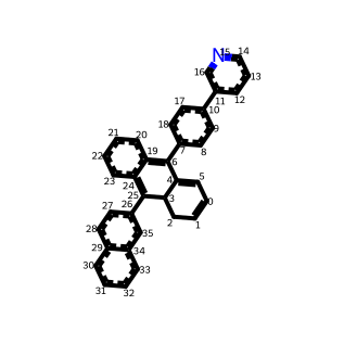 C1=CCC2C(=C1)C(c1ccc(-c3cccnc3)cc1)=c1ccccc1=C2c1ccc2ccccc2c1